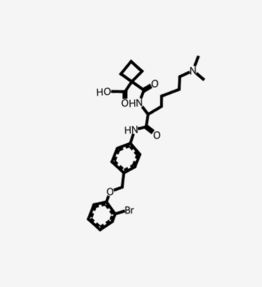 CN(C)CCCCC(NC(=O)C1(C(=O)O)CCC1)C(=O)Nc1ccc(COc2ccccc2Br)cc1